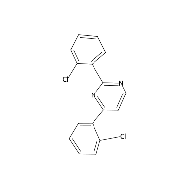 Clc1ccccc1-c1ccnc(-c2ccccc2Cl)n1